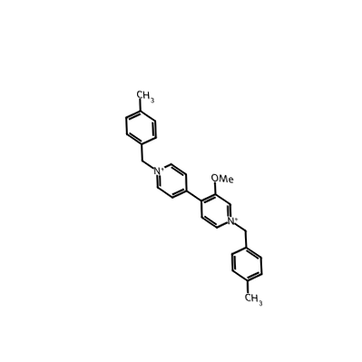 COc1c[n+](Cc2ccc(C)cc2)ccc1-c1cc[n+](Cc2ccc(C)cc2)cc1